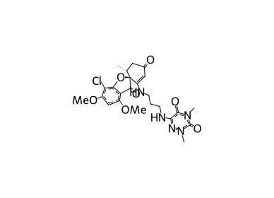 COc1cc(OC)c2c(c1Cl)O[C@]1(C2=O)C(NCCCNc2nn(C)c(=O)n(C)c2=O)=CC(=O)C[C@H]1C